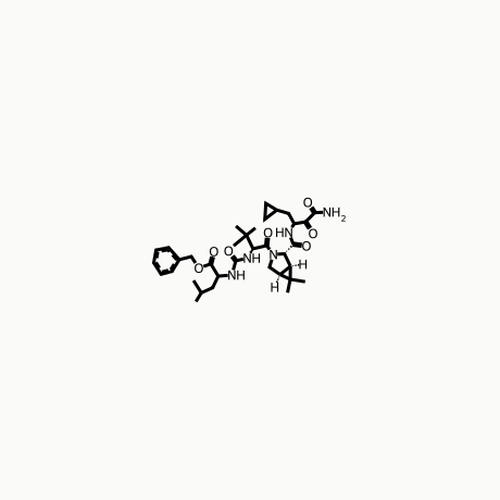 CC(C)CC(NC(=O)N[C@H](C(=O)N1C[C@H]2[C@@H]([C@H]1C(=O)NC(CC1CC1)C(=O)C(N)=O)C2(C)C)C(C)(C)C)C(=O)OCc1ccccc1